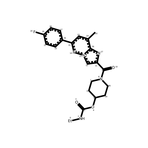 CCNC(=O)OC1CCN(C(=O)c2cn3nc(-c4ccc(F)cc4)cc(C)c3n2)CC1